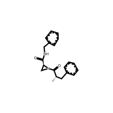 C[C@@H](Cc1ccccc1)C(=O)N1C[C@H]1C(=O)NCc1ccccc1